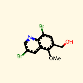 COc1c(CO)cc(Br)c2ncc(Br)cc12